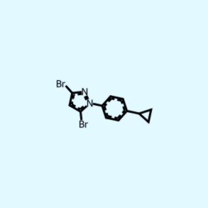 Brc1cc(Br)n(-c2ccc(C3CC3)cc2)n1